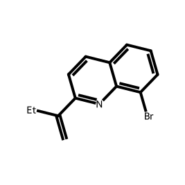 C=C(CC)c1ccc2cccc(Br)c2n1